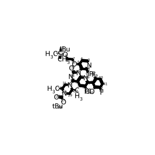 CC(C)c1nccc(OCCO[Si](C)(C)C(C)(C)C)c1-n1c(=O)nc(N2C[C@H](C)N(C(=O)OC(C)(C)C)C[C@@H]2C)c2cc(Cl)c(-c3c(F)ccc(F)c3O)nc21